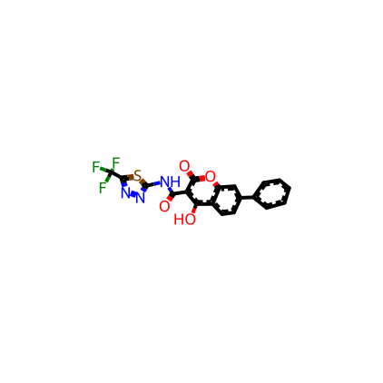 O=C(Nc1nnc(C(F)(F)F)s1)c1c(O)c2ccc(-c3ccccc3)cc2oc1=O